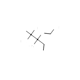 CCOC(N)(CO)C(C)(C)C